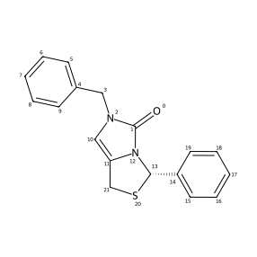 O=c1n(Cc2ccccc2)cc2n1[C@H](c1ccccc1)SC2